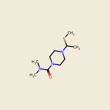 CSC(C)N1CCN(C(=O)N(C)C)CC1